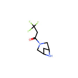 O=C(CC(F)(F)F)N1CC2CC(C1)N2